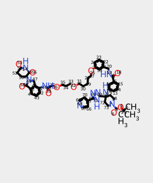 CC(C)(C)OC(=O)N1CCC(Nc2cccc(C(=O)NCc3cccc(OCCCCCOCCCOCC(=O)Nc4cccc5c4CN(C4CCC(=O)NC4=O)C5=O)c3)c2)(c2nnc(-c3ccncc3)[nH]2)CC1